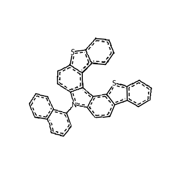 c1ccc2c(-n3c4ccc5c6ccccc6sc5c4c4c5c(ccc43)sc3ccccc35)cccc2c1